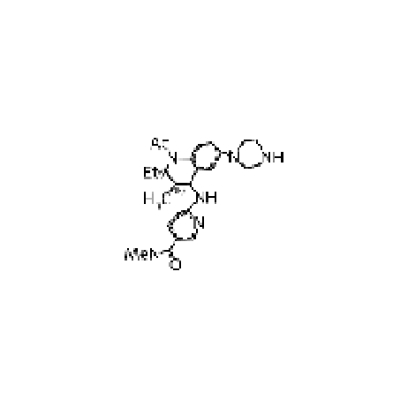 CC[C@H]1[C@H](C)C(Nc2ccc(C(=O)NC)cn2)c2cc(N3CCNCC3)ccc2N1C(C)=O